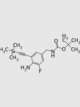 CC(C)(C)OC(=O)NCc1cc(F)c(N)c(C#C[Si](C)(C)C)c1